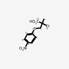 CCC(C)(CSc1ccc([N+](=O)[O-])cc1)C(=O)O